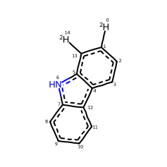 [2H]c1ccc2c([nH]c3ccccc32)c1[2H]